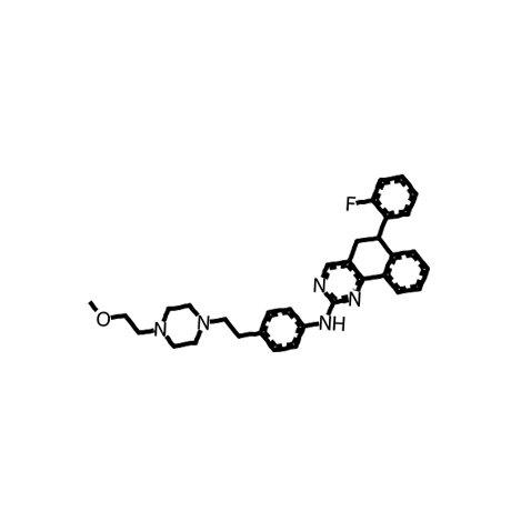 COCCN1CCN(CCc2ccc(Nc3ncc4c(n3)-c3ccccc3C(c3ccccc3F)C4)cc2)CC1